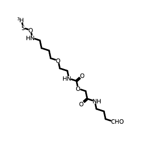 [3H]SONCCCCOCCNC(=O)OCC(=O)NCCCC=O